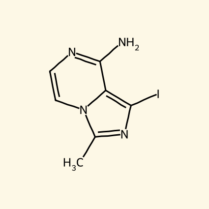 Cc1nc(I)c2c(N)nccn12